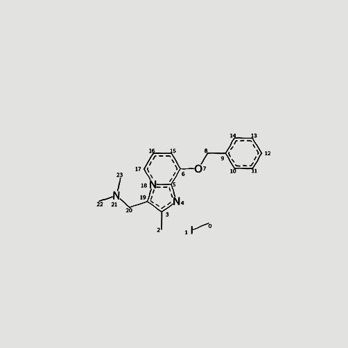 CI.Cc1nc2c(OCc3ccccc3)cccn2c1CN(C)C